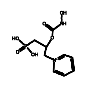 O=C(NO)OC(C[n+]1ccccc1)CP(=O)(O)O